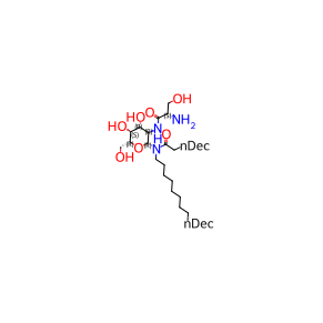 CCCCCCCCCCCCCCCCCCN(C(=O)CCCCCCCCCCC)[C@@H]1O[C@H](CO)[C@@H](O)[C@H](O)[C@H]1NC(=O)[C@@H](N)CO